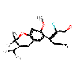 CCC(=C(F)CO)c1cc2c(cc1OC)OC(C)(C)C(C(C)C)=C2